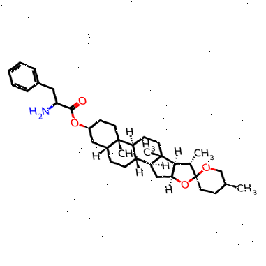 C[C@H]1CC[C@@]2(OC1)O[C@H]1C[C@H]3[C@@H]4CC[C@@H]5C[C@@H](OC(=O)C(N)Cc6ccccc6)CC[C@]5(C)[C@H]4CC[C@]3(C)[C@H]1[C@@H]2C